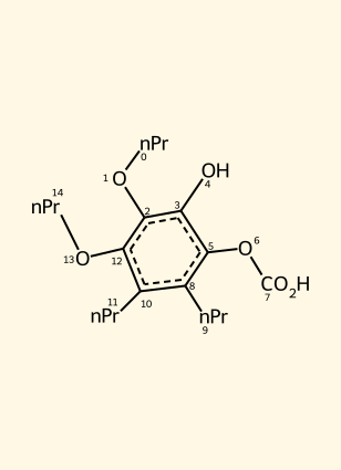 CCCOc1c(O)c(OC(=O)O)c(CCC)c(CCC)c1OCCC